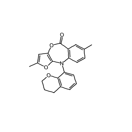 Cc1ccc2c(c1)C(=O)Oc1cc(C)oc1N2c1cccc2c1OCCC2